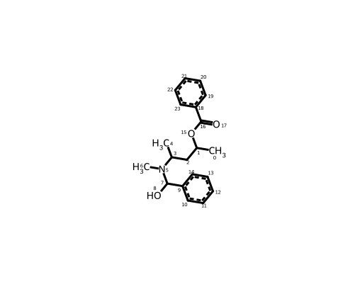 CC(CC(C)N(C)C(O)c1ccccc1)OC(=O)c1ccccc1